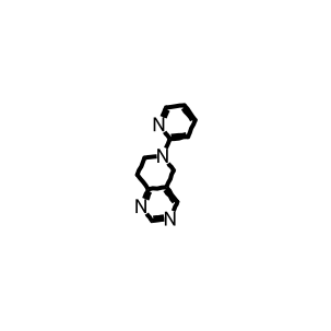 c1ccc(N2CCc3ncncc3C2)nc1